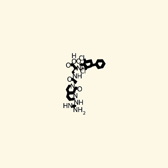 N=C(N)Nc1ccc2c(n1)C(=O)N(CC(=O)NC[C@H](NC(=O)c1c(Cl)cc(-c3ccccc3)cc1Cl)C(=O)O)CC2